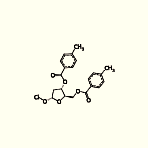 Cc1ccc(C(=O)OC[C@H]2O[C@H](OCl)C[C@@H]2OC(=O)c2ccc(C)cc2)cc1